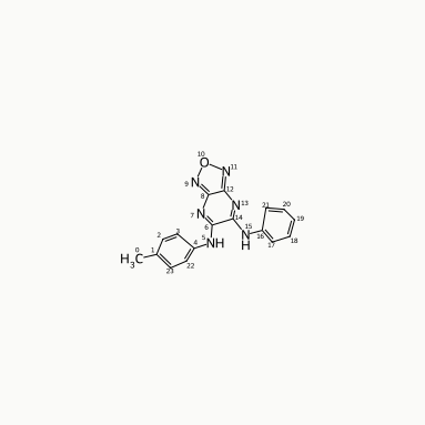 Cc1ccc(Nc2nc3nonc3nc2Nc2ccccc2)cc1